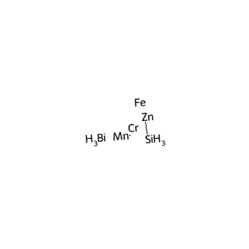 [BiH3].[Cr].[Fe].[Mn].[SiH3][Zn]